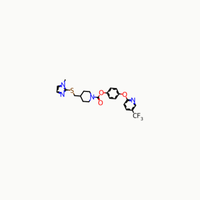 Cn1ccnc1SCC1CCN(C(=O)Oc2ccc(Oc3ccc(C(F)(F)F)cn3)cc2)CC1